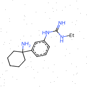 CCNC(=N)Nc1cccc(C2(N)CCCCC2)c1